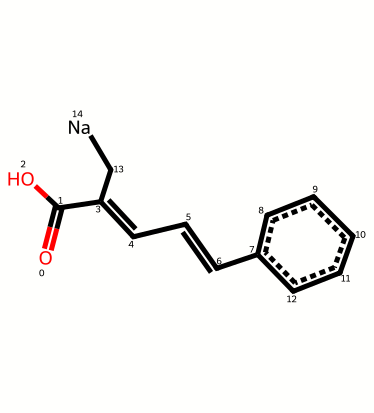 O=C(O)C(=CC=Cc1ccccc1)[CH2][Na]